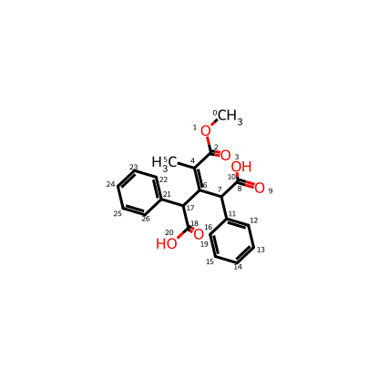 COC(=O)C(C)=C(C(C(=O)O)c1ccccc1)C(C(=O)O)c1ccccc1